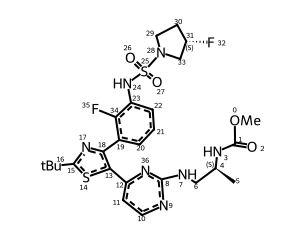 COC(=O)N[C@@H](C)CNc1nccc(-c2sc(C(C)(C)C)nc2-c2cccc(NS(=O)(=O)N3CC[C@H](F)C3)c2F)n1